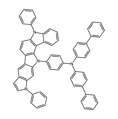 c1ccc(-c2ccc(N(c3ccc(-c4ccccc4)cc3)c3ccc(-n4c5cc6c(ccn6-c6ccccc6)cc5c5ccc6c(c7ccccc7n6-c6ccccc6)c54)cc3)cc2)cc1